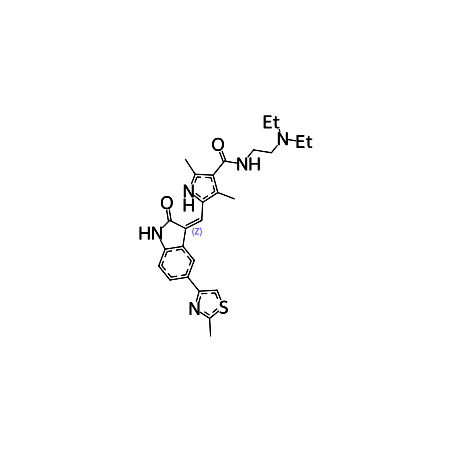 CCN(CC)CCNC(=O)c1c(C)[nH]c(/C=C2\C(=O)Nc3ccc(-c4csc(C)n4)cc32)c1C